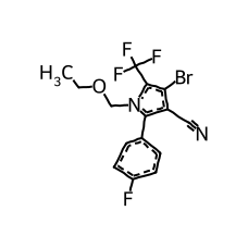 CCOCn1c(-c2ccc(F)cc2)c(C#N)c(Br)c1C(F)(F)F